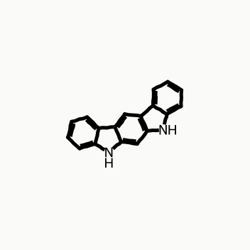 c1ccc2c(c1)[nH]c1cc3[nH]c4ccccc4c3cc12